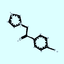 O=C(Cn1ccnc1)c1ccc(F)cc1